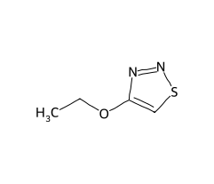 CCOc1csnn1